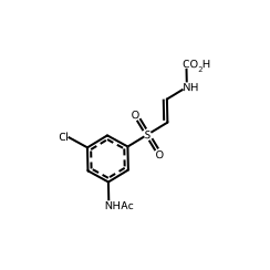 CC(=O)Nc1cc(Cl)cc(S(=O)(=O)C=CNC(=O)O)c1